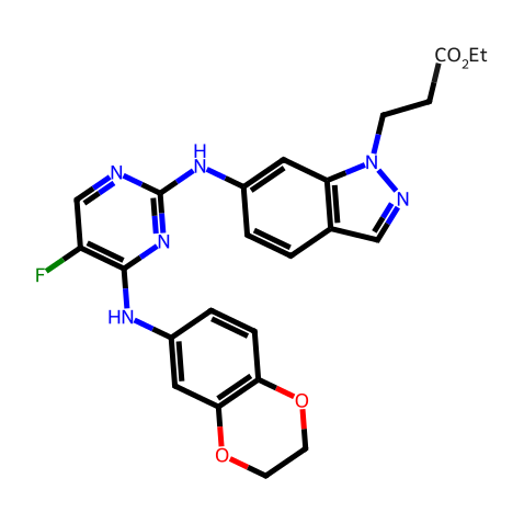 CCOC(=O)CCn1ncc2ccc(Nc3ncc(F)c(Nc4ccc5c(c4)OCCO5)n3)cc21